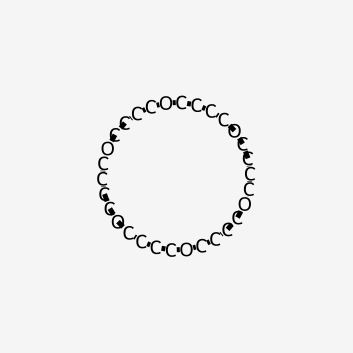 C1CCOCCCCOCCCCOCCCCOCCCCOCCCCOC1